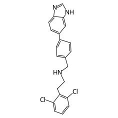 Clc1cccc(Cl)c1CCNCc1ccc(-c2ccc3nc[nH]c3c2)cc1